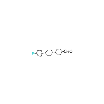 O=C[C@H]1CC[C@H](C2CCC(c3ccc(F)cc3)CC2)CC1